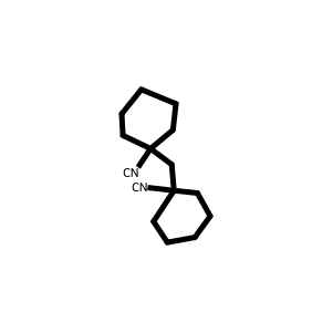 [C-]#[N+]C1(CC2([N+]#[C-])CCCCC2)CCCCC1